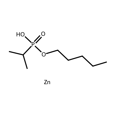 CCCCCOP(=O)(O)C(C)C.[Zn]